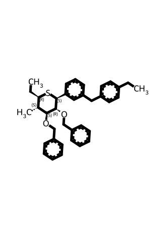 CCc1ccc(Cc2cccc([C@@H]3S[C@H](CC)[C@@H](C)[C@H](OCc4ccccc4)[C@H]3OCc3ccccc3)c2)cc1